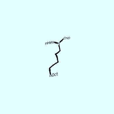 CCCCCCCCCCCCN(C=O)CCCCCC